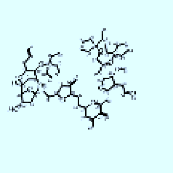 C=CCC1O[C@@H]2CC(O[C@@]3(CCC4CC(=C)C(CCC5CC(C)C(=C)C(C[C@@H]6O[C@H](CC(CO[Si](CC)(CC)CC)O[Si](CC)(CC)CC)[C@H](OC)C6CC=O)O5)O4)C[C@@H](O)C2O3)C1O[Si](CC)(CC)CC